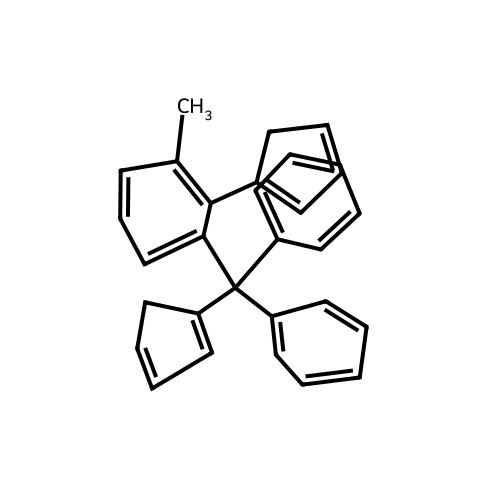 Cc1cccc(C(C2=CC=CC2)(c2ccccc2)c2ccccc2)c1C1=CC=CC1